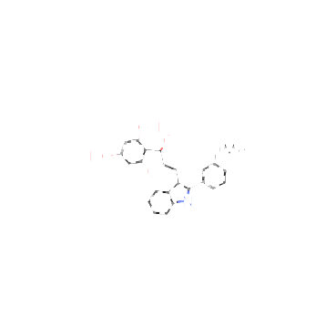 COc1cccc(-c2c(/C=C3\Oc4cc(O)cc(O)c4C3=O)c3ccccc3n2C)c1